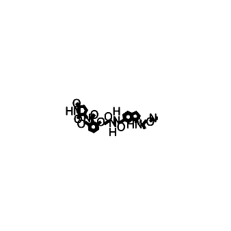 C=NOCC(C)N[C@@H]1CCc2ccc(C(=O)NNC(=O)COc3cccc4c3C(=O)N(C3CCC(=O)NC3=O)C4=O)cc21